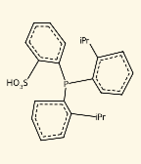 CC(C)c1ccccc1P(c1ccccc1C(C)C)c1ccccc1S(=O)(=O)O